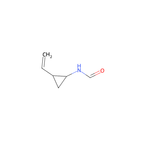 C=CC1CC1NC=O